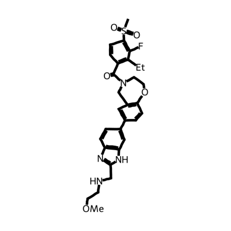 CCc1c(C(=O)N2CCOc3ccc(-c4ccc5nc(CNCCOC)[nH]c5c4)cc3C2)ccc(S(C)(=O)=O)c1F